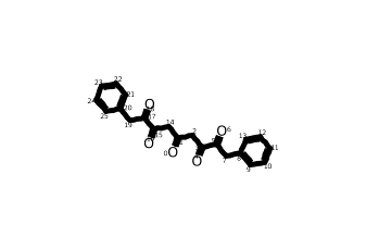 O=C(CC(=O)C(=O)Cc1ccccc1)CC(=O)C(=O)Cc1ccccc1